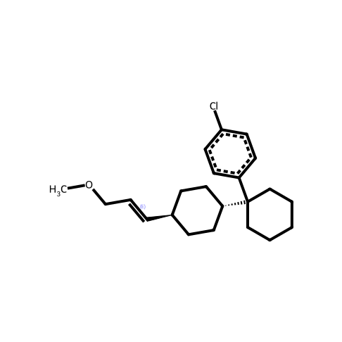 COC/C=C/[C@H]1CC[C@H](C2(c3ccc(Cl)cc3)CCCCC2)CC1